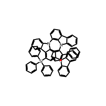 c1ccc(-c2ccccc2-n2c3ccccc3c3cccc(-n4c5ccccc5c5c([Si](c6ccccc6)(c6ccccc6)c6ccccc6)cc(-n6c7ccccc7c7ccccc76)cc54)c32)cc1